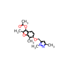 CC(=O)Oc1c(C)oc2c(C)c(OCc3cc(C)nn3C)ccc12